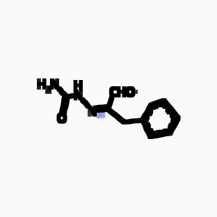 NC(=O)N/N=C(\[C]=O)Cc1ccccc1